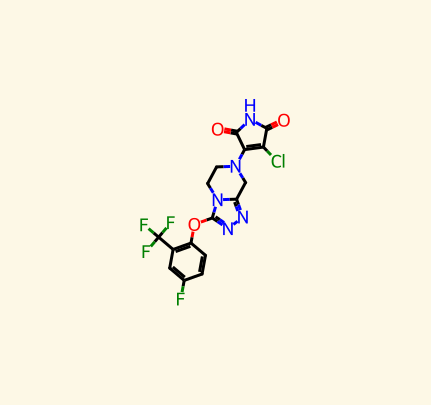 O=C1NC(=O)C(N2CCn3c(nnc3Oc3ccc(F)cc3C(F)(F)F)C2)=C1Cl